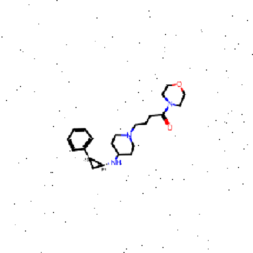 O=C(CCCN1CCC(N[C@@H]2C[C@H]2c2ccccc2)CC1)N1CCOCC1